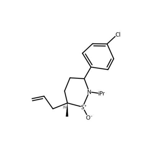 C=CC[C@]1(C)CCC(c2ccc(Cl)cc2)N(C(C)C)[S+]1[O-]